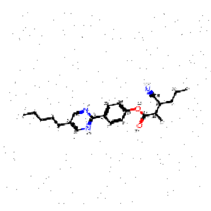 CCCCCc1cnc(-c2ccc(OC(=O)C(C)C(C#N)CCC)cc2)nc1